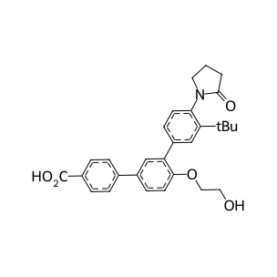 CC(C)(C)c1cc(-c2cc(-c3ccc(C(=O)O)cc3)ccc2OCCO)ccc1N1CCCC1=O